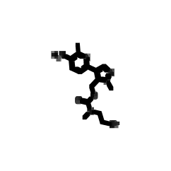 Cc1nc(-c2cnn(C)c2COC(=O)N(C)CCC(C)C)ccc1N